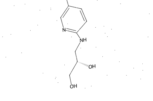 Nc1ccc(NC[C@H](O)CO)nc1